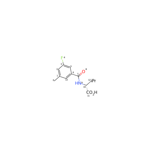 Cc1cc(F)cc(C(=O)N[C@@H](C(=O)O)C(C)C)c1